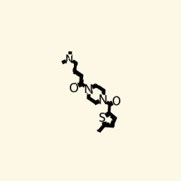 Cc1ccc(C(=O)N2CCN(C(=O)/C=C/CN(C)C)CC2)s1